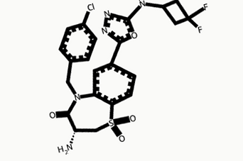 N[C@H]1CS(=O)(=O)c2ccc(-c3nnc(NC4CC(F)(F)C4)o3)cc2N(Cc2ccc(Cl)cc2)C1=O